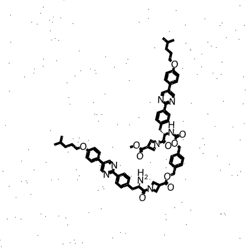 COC(=O)C1CN(C(=O)[C@H](Cc2ccc(-c3ncc(-c4ccc(OCCCC(C)C)cc4)cn3)cc2)NC(=O)OCc2ccc(COC(=O)C3CN(C(=O)[C@@H](N)Cc4ccc(-c5ncc(-c6ccc(OCCCC(C)C)cc6)cn5)cc4)C3)cc2)C1